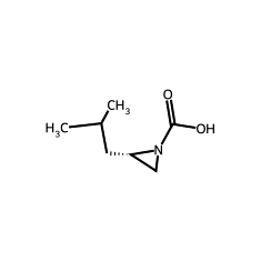 CC(C)C[C@H]1CN1C(=O)O